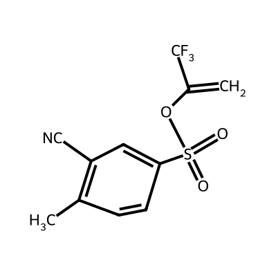 C=C(OS(=O)(=O)c1ccc(C)c(C#N)c1)C(F)(F)F